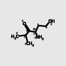 CC(C)C(=O)[C@H](N)CCO